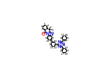 CC1(C)c2ccccc2C(=O)n2c1nc1cc(-c3cccc(-c4nc(-c5ccccc5)nc(-c5ccccc5)n4)c3)ccc12